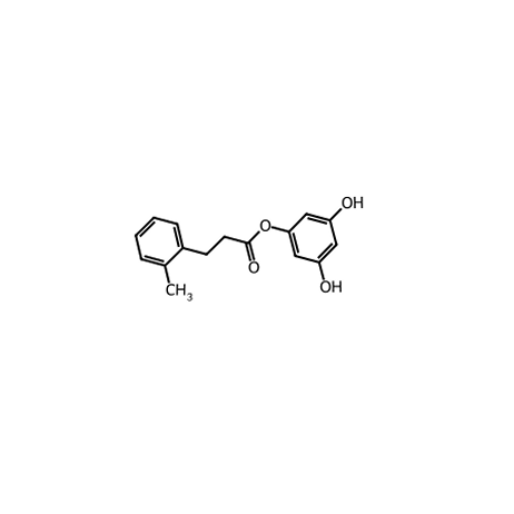 Cc1ccccc1CCC(=O)Oc1cc(O)cc(O)c1